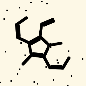 C=Cc1c(/C=C\C)c(C)c(/C=C\C)n1C